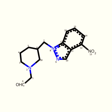 O=CCN1CCCC(Cn2ncc3c([N+](=O)[O-])cccc32)C1